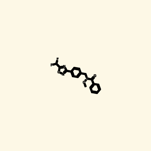 CON(Cc1ccc(-c2noc(C(F)F)n2)cc1)C(=O)c1ccccc1